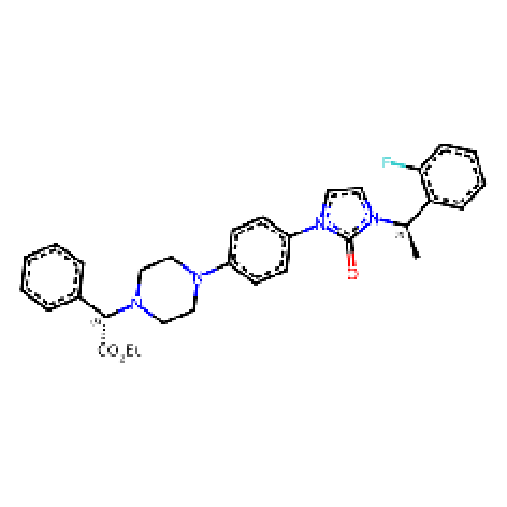 CCOC(=O)[C@H](c1ccccc1)N1CCN(c2ccc(-n3ccn([C@H](C)c4ccccc4F)c3=O)cc2)CC1